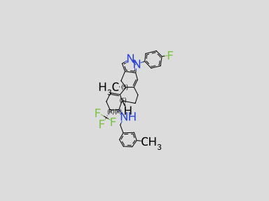 Cc1cccc(CN[C@H]2[C@H](C(F)(F)F)CC=C3[C@@H]2CCC2=Cc4c(cnn4-c4ccc(F)cc4)C[C@@]23C)c1